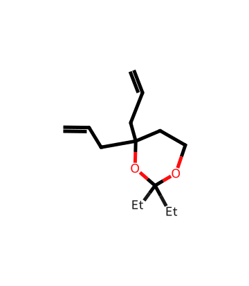 C=CCC1(CC=C)CCOC(CC)(CC)O1